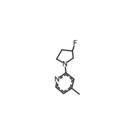 Cc1ccnc(N2CCC(F)C2)c1